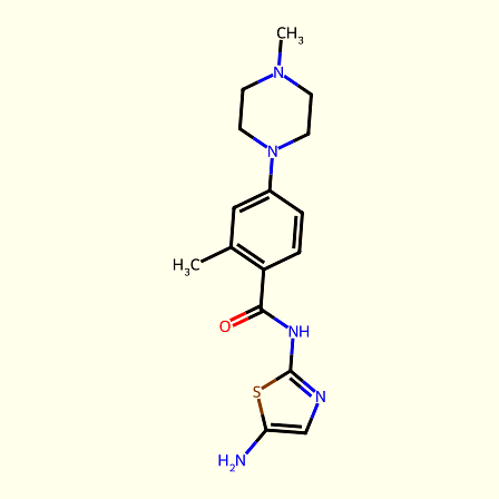 Cc1cc(N2CCN(C)CC2)ccc1C(=O)Nc1ncc(N)s1